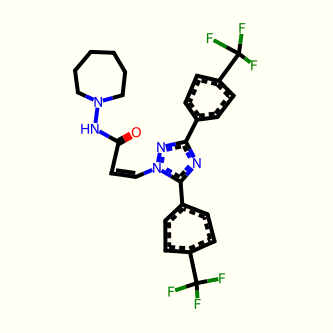 O=C(/C=C\n1nc(-c2ccc(C(F)(F)F)cc2)nc1-c1ccc(C(F)(F)F)cc1)NN1CCCCCC1